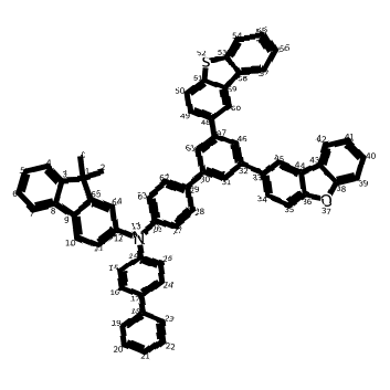 CC1(C)c2ccccc2-c2ccc(N(c3ccc(-c4ccccc4)cc3)c3ccc(-c4cc(-c5ccc6oc7ccccc7c6c5)cc(-c5ccc6sc7ccccc7c6c5)c4)cc3)cc21